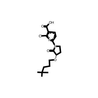 CC(C)(C)CCCO[C@H]1CCN(c2ccc(C(=O)O)c(Cl)n2)C1=O